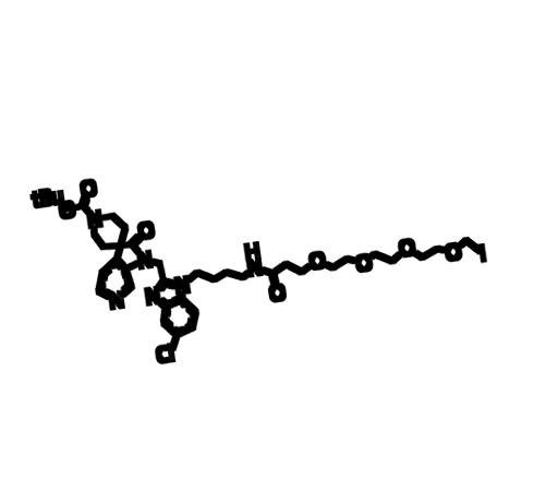 CC(C)(C)OC(=O)N1CCC2(CC1)C(=O)N(Cc1nc3cc(Cl)ccc3n1CCCCNC(=O)CCOCCOCCOCCOCI)c1cnccc12